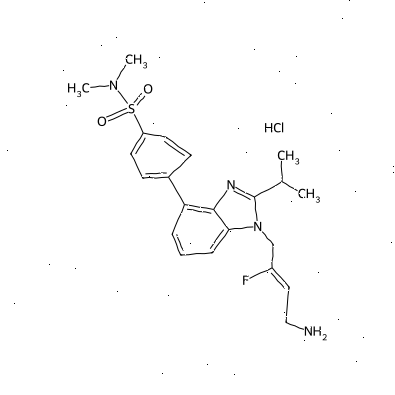 CC(C)c1nc2c(-c3ccc(S(=O)(=O)N(C)C)cc3)cccc2n1C/C(F)=C/CN.Cl